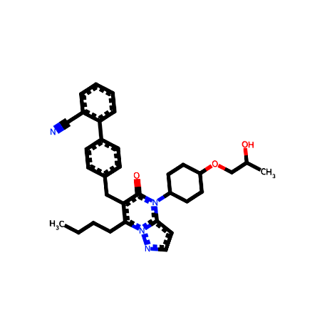 CCCCc1c(Cc2ccc(-c3ccccc3C#N)cc2)c(=O)n(C2CCC(OCC(C)O)CC2)c2ccnn12